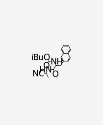 CC(C)COC(=O)NC(Cc1ccc2ccccc2c1)C(=O)NC(C)C#N